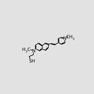 CN(CCS)c1ccc2cc(/C=C/c3cc[n+](C)cc3)ccc2c1